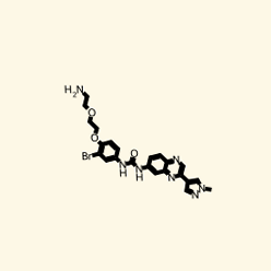 Cn1cc(-c2cnc3ccc(NC(=O)Nc4ccc(OCCOCCN)c(Br)c4)cc3n2)cn1